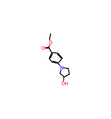 CCOC(=O)c1ccc(N2CCC(O)C2)cc1